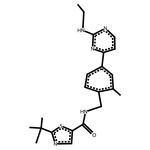 CCNc1nccc(-c2ccc(CNC(=O)c3cnc(C(C)(C)C)s3)c(C)c2)n1